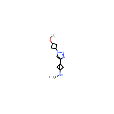 O=C(O)NC12CC(c3cn(C4CC(OC(F)(F)F)C4)nn3)(C1)C2